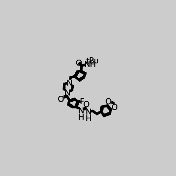 CC(C)(C)NC(=O)c1cccc(CN2CCN(C(=O)c3ccc(NC(=O)NCCc4ccc5c(c4)OCO5)c(F)c3)CC2)c1